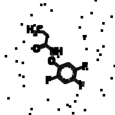 CCC(=O)NOc1cc(F)c(F)cc1F